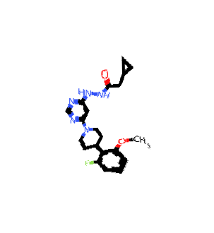 COc1cccc(F)c1C1CCN(c2cc(NNC(=O)CC3CC3)ncn2)CC1